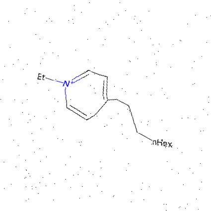 CCCCCCCCc1cc[n+](CC)cc1